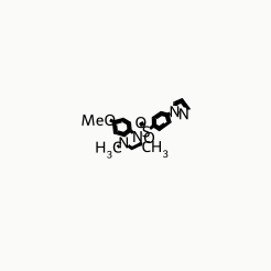 COc1ccc2c(c1)N(C)CC(C)N2S(=O)(=O)c1ccc(-n2cccn2)cc1